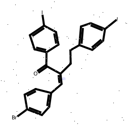 O=C(/C(=C\c1ccc(Br)cc1)CCc1ccc(I)cc1)c1ccc(I)cc1